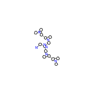 N#Cc1cccc(-c2cc(-c3ccc(-n4c5ccccc5c5cc(-c6ccc7c(c6)c6ccccc6n7-c6ccccc6)ccc54)cc3)nc(-c3cccc(-n4c5ccccc5c5cc(-c6ccc7c(c6)c6ccccc6n7-c6ccccc6)ccc54)c3)n2)c1